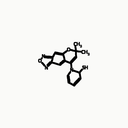 CC1(C)C=C(N2C=CC=CC2S)c2cc3nonc3cc2O1